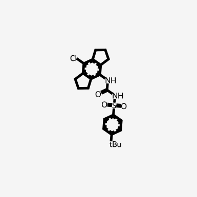 CC(C)(C)c1ccc(S(=O)(=O)NC(=O)Nc2c3c(c(Cl)c4c2CCC4)CCC3)cc1